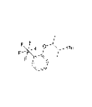 CC(Oc1ccccc1S(F)(F)(F)(F)F)C(C)C(C)(C)C